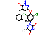 COc1cccc(Cc2cc(Oc3c(Cl)cc(-n4nc(C#N)c(=O)[nH]c4=O)cc3Cl)n[nH]c2=O)c1